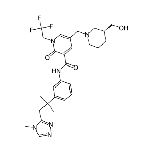 Cn1cnnc1CC(C)(C)c1cccc(NC(=O)c2cc(CN3CCC[C@H](CO)C3)cn(CC(F)(F)F)c2=O)c1